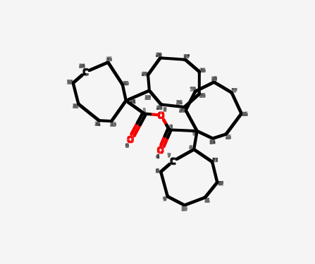 O=C(OC(=O)C1(C2CCCCCCC2)CCCCCCC1)C1(C2CCCCCCC2)CCCCCCC1